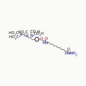 NNC(=O)CCCCCCCCCCNC(=O)COc1ccc(CC(CN(CCN(CC(=O)O)CC(=O)O)CC(=O)O)N(CC(=O)O)CC(=O)O)cc1